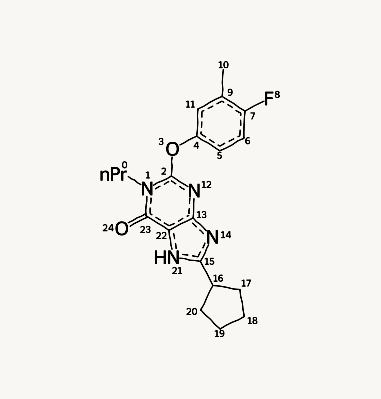 CCCn1c(Oc2ccc(F)c(C)c2)nc2nc(C3CCCC3)[nH]c2c1=O